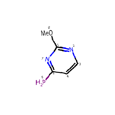 COc1nccc(P)n1